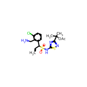 C=CC(c1cccc(Cl)c1CN)S(=O)(=O)Nc1nc(C(C)(C)OC(C)=O)ns1